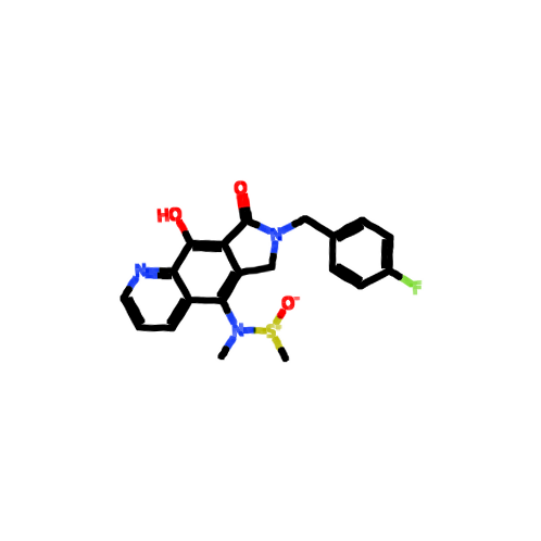 CN(c1c2c(c(O)c3ncccc13)C(=O)N(Cc1ccc(F)cc1)C2)[S+](C)[O-]